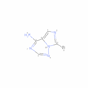 CC(C)c1ncc2c(N)ncnn12